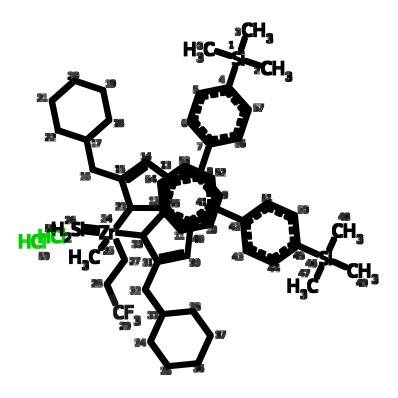 C[Si](C)(C)c1ccc(-c2cccc3c2C=C(CC2CCCCC2)[CH]3[Zr]([CH3])(=[SiH2])([CH2]CC(F)(F)F)[CH]2C(CC3CCCCC3)=Cc3c(-c4ccc([Si](C)(C)C)cc4)cccc32)cc1.Cl.Cl